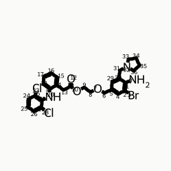 Nc1c(Br)cc(COCCOC(=O)Cc2ccccc2Nc2c(Cl)cccc2Cl)cc1CN1CCCC1